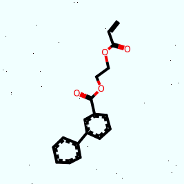 C=CC(=O)OCCOC(=O)c1cccc(-c2ccccc2)c1